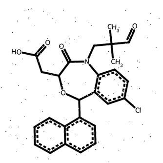 CC(C)(C=O)CN1C(=O)C(CC(=O)O)OC(c2cccc3ccccc23)c2cc(Cl)ccc21